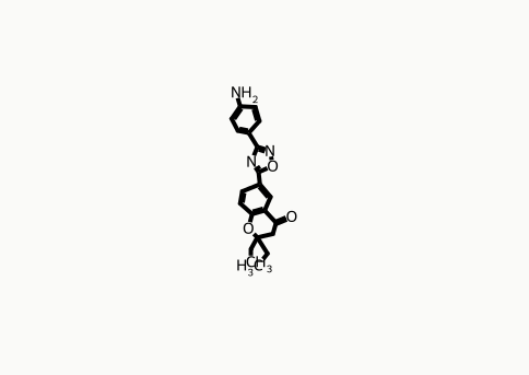 CCC1(CC)CC(=O)c2cc(-c3nc(-c4ccc(N)cc4)no3)ccc2O1